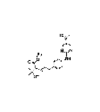 C[S+]([O-])c1cnc(Nc2ccc(CC[C@H]3COC(C)(C)N3C(=O)OC(C)(C)C)cc2)nc1